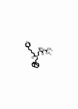 CC(C)OC(=O)N(C)CCN(CCC12CC3CC(CC(C3)C1)C2)C(=O)CCCCc1ccncc1